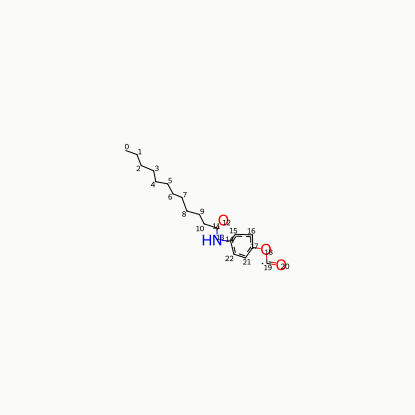 CCCCCCCCCCCC(=O)Nc1ccc(O[C]=O)cc1